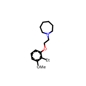 CCc1c(OC)cccc1OCCN1CCCCCC1